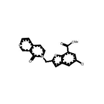 COC(=O)c1cc(Cl)cc2cc(Cn3ccc4ccncc4c3=O)oc12